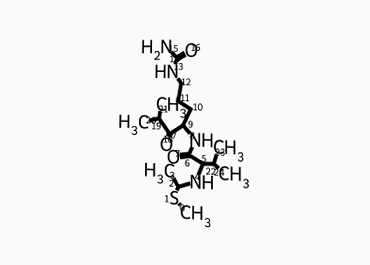 CSC(C)NC(C(=O)NC(CCCNC(N)=O)C(=O)C(C)C)C(C)C